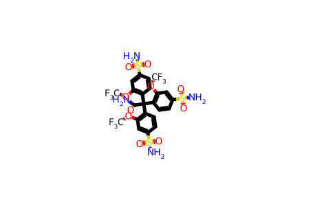 NC(=O)C(c1ccc(S(N)(=O)=O)cc1OC(F)(F)F)(c1ccc(S(N)(=O)=O)cc1OC(F)(F)F)c1ccc(S(N)(=O)=O)cc1OC(F)(F)F